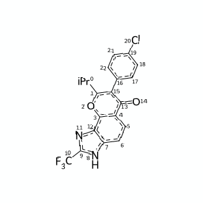 CC(C)c1oc2c(ccc3[nH]c(C(F)(F)F)nc32)c(=O)c1-c1ccc(Cl)cc1